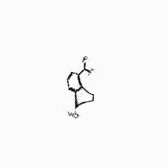 O[C@H]1CCc2c(C(F)F)cccc21